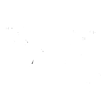 C[C@H]1CN(S(C)(=O)=O)CCN1Cc1cc2c(=O)n(C)cc(-c3cccnc3)c2s1